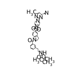 Cc1cc(C#N)nc(N2CCN(S(=O)(=O)c3ccc4c(c3)CCN4C(=O)c3cccc(CCNC(=O)OC(C)(C)C)c3)CC2)n1